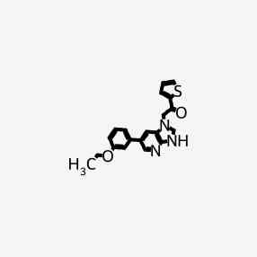 CCOc1cccc(-c2cnc3c(c2)N(CC(=O)c2cccs2)CN3)c1